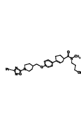 CC(C)c1noc(N2CCC(COc3ccc(C4=CCC(C(=O)N(C)CCCO)CC4)cc3)CC2)n1